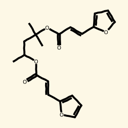 CC(CC(C)(C)OC(=O)C=Cc1ccco1)OC(=O)C=Cc1ccco1